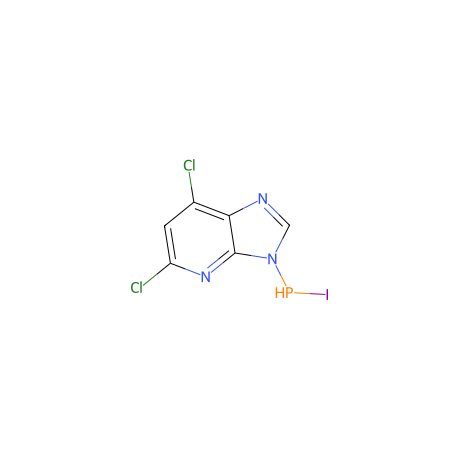 Clc1cc(Cl)c2ncn(PI)c2n1